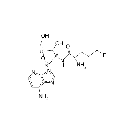 Nc1ccnc2c1ncn2[C@@H]1O[C@H](CO)C(O)[C@@H]1NC(=O)C(N)CCCF